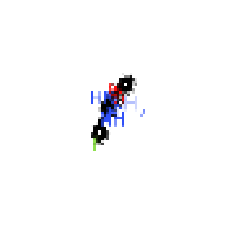 Nc1nc(NCc2ccc(F)cc2)ccc1NC(=O)Oc1ccccc1